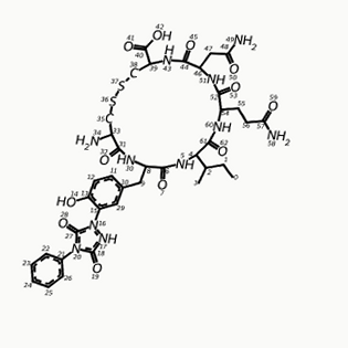 CCC(C)C1NC(=O)C(Cc2ccc(O)c(-n3[nH]c(=O)n(-c4ccccc4)c3=O)c2)NC(=O)C(N)CSSCC(C(=O)O)NC(=O)C(CC(N)=O)NC(=O)C(CCC(N)=O)NC1=O